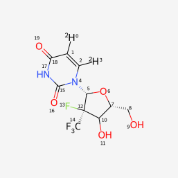 [2H]c1c([2H])n([C@@H]2O[C@H](CO)C(O)[C@]2(F)C(F)(F)F)c(=O)[nH]c1=O